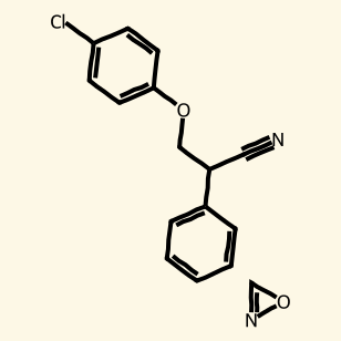 C1=NO1.N#CC(COc1ccc(Cl)cc1)c1ccccc1